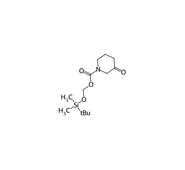 CC(C)(C)[Si](C)(C)OCOC(=O)N1CCCC(=O)C1